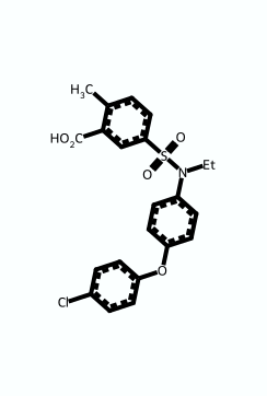 CCN(c1ccc(Oc2ccc(Cl)cc2)cc1)S(=O)(=O)c1ccc(C)c(C(=O)O)c1